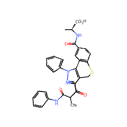 C[C@H](NC(=O)c1ccc2c(c1)-c1c(c(C(=O)C(C#N)C(=O)Nc3ccccc3)nn1-c1ccccc1)CS2)C(=O)O